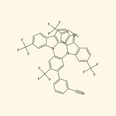 Cc1ccc2c3ccc(C(F)(F)F)cc3n(-c3cc(C(F)(F)F)c(-c4cccc(C#N)c4)cc3-n3c4cc(C(F)(F)F)ccc4c4ccc(C(F)(F)F)cc43)c2c1